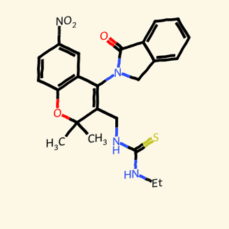 CCNC(=S)NCC1=C(N2Cc3ccccc3C2=O)c2cc([N+](=O)[O-])ccc2OC1(C)C